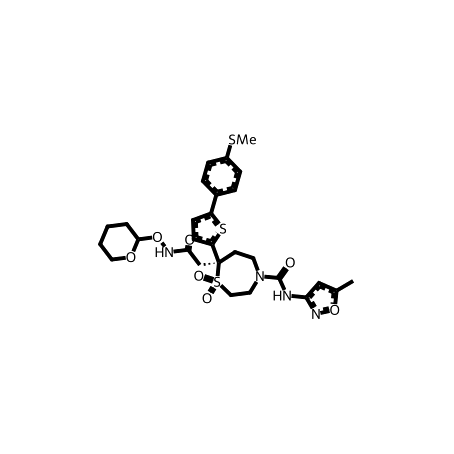 CSc1ccc(-c2ccc([C@@]3(CC(=O)NOC4CCCCO4)CCN(C(=O)Nc4cc(C)on4)CCS3(=O)=O)s2)cc1